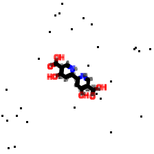 O=C(O)c1cnc(-c2cc(O)c(C(=O)O)cn2)cc1O